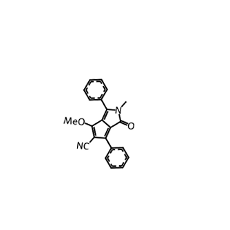 COC1=C(C#N)C(c2ccccc2)=C2C(=O)N(C)C(c3ccccc3)=C12